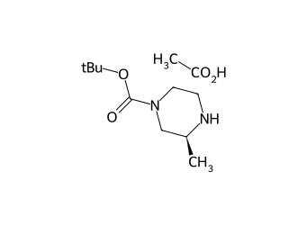 CC(=O)O.C[C@H]1CN(C(=O)OC(C)(C)C)CCN1